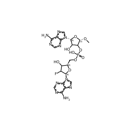 CO[C@H]1O[C@@H](n2cnc3c(N)ncnc32)C(O)C1OP(=O)(O)OC[C@H]1O[C@@H](n2cnc3c(N)ncnc32)C(F)C1O